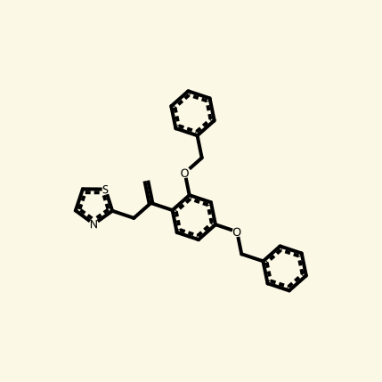 C=C(Cc1nccs1)c1ccc(OCc2ccccc2)cc1OCc1ccccc1